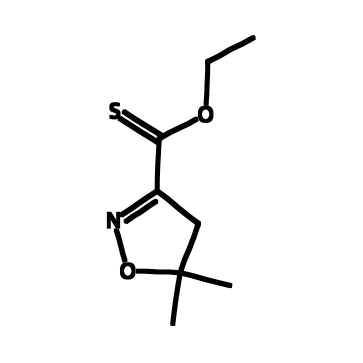 CCOC(=S)C1=NOC(C)(C)C1